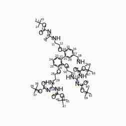 CC(C)(C)OC(=O)/N=C(\I)NCCOc1ccc(CN)cc1-c1cccc(OCCN/C(=N\C(=O)OC(C)(C)C)NC(=O)OC(C)(C)C)c1OCCN/C(=N/C(=O)OC(C)(C)C)NC(=O)OC(C)(C)C